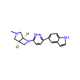 CN1C[C@@H]2CN(c3ccc(-c4ccc5[nH]ccc5c4)nn3)[C@@H]2C1